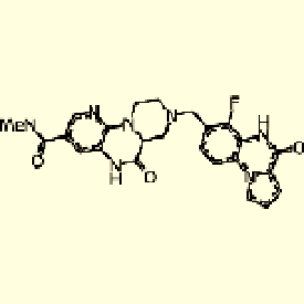 CNC(=O)c1cnc2c(c1)NC(=O)C1CN(Cc3ccc4c([nH]c(=O)c5cccn54)c3F)CCN21